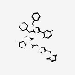 CC(Cn1cc(CN2C(=O)C=CC2=O)nn1)NC(=O)N(C[C@@H]1CNC[C@@H]1F)[C@@H](c1nc(-c2cc(F)ccc2F)cn1Cc1ccccc1)C1CCOCC1